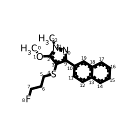 COc1c(SCCCF)c(-c2ccc3ccccc3c2)nn1C